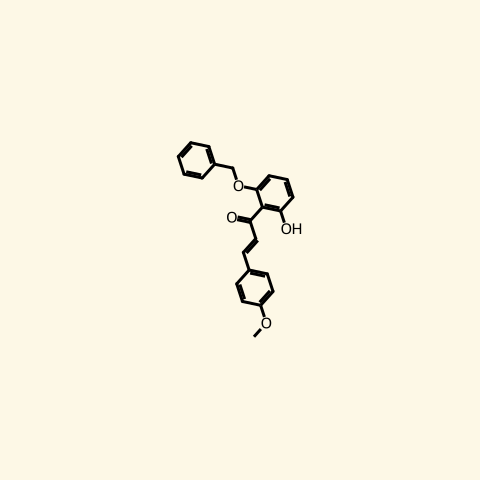 COc1ccc(/C=C/C(=O)c2c(O)cccc2OCc2ccccc2)cc1